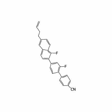 C=CCCc1ccc2c(F)c(-c3ccc(-c4ccc(C#N)cc4)c(F)c3)ccc2c1